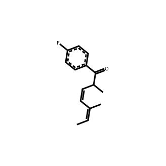 C/C=C(C)\C=C/C(C)C(=O)c1ccc(F)cc1